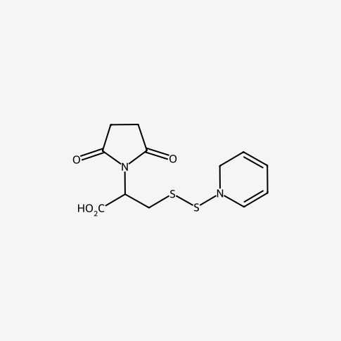 O=C(O)C(CSSN1C=CC=CC1)N1C(=O)CCC1=O